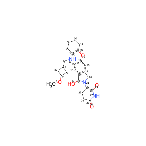 COC1CC(CN[C@@H]2CCCC[C@H]2Oc2ccc3c(c2)CN(C2CCC(=O)NC2=O)C3O)C1